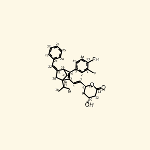 Cc1cc(C2=C(C=C[C@@H]3C[C@@H](O)CC(=O)O3)C3(C(C)C)CC(=Cc4ccccc4)C2C3)ccc1F